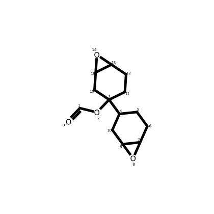 O=COC1(C2CCC3OC3C2)CCC2OC2C1